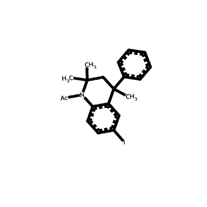 CC(=O)N1c2ccc(I)cc2C(C)(c2ccccc2)CC1(C)C